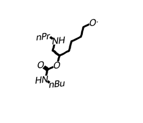 CCCCNC(=O)OC(CCCC[O])CNCCC